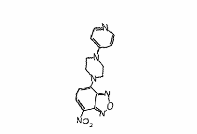 O=[N+]([O-])c1ccc(N2CCN(c3ccncc3)CC2)c2nonc12